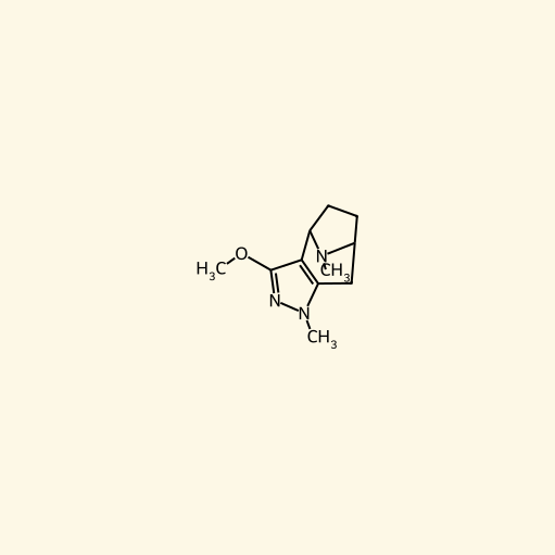 COc1nn(C)c2c1C1CCC(C2)N1C